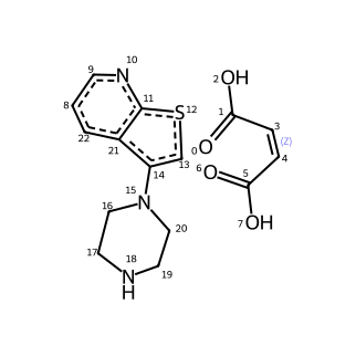 O=C(O)/C=C\C(=O)O.c1cnc2scc(N3CCNCC3)c2c1